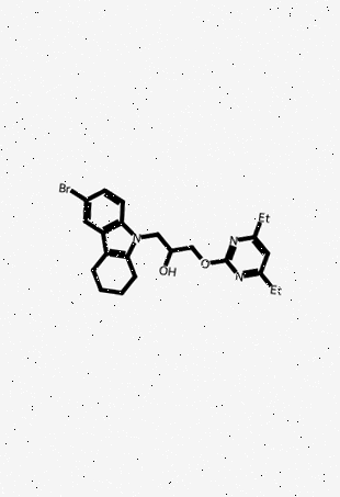 CCc1cc(CC)nc(OCC(O)Cn2c3c(c4cc(Br)ccc42)CCCC3)n1